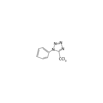 ClC(Cl)(Cl)c1nnnn1-c1ccccc1